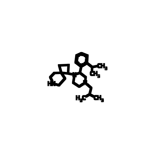 CC(C)CN1CCN(C2CCC23CCNCC3)C(c2ccccc2C(C)C)C1